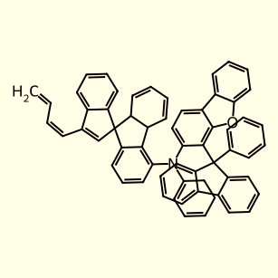 C=C/C=C\C1=CC2(c3ccccc31)c1cccc(N(C3=CC=CCC3)c3ccc4c(oc5ccccc54)c3C3(c4ccccc4)c4ccccc4-c4ccccc43)c1C1C=CC=CC12